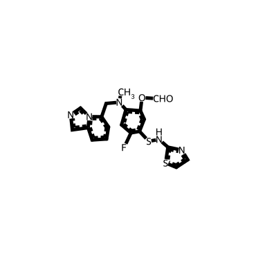 CN(Cc1cccc2cncn12)c1cc(F)c(SNc2nccs2)cc1OC=O